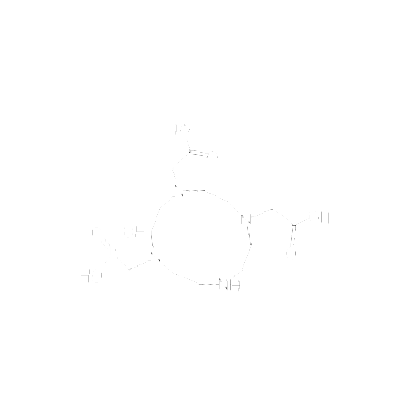 O=C(O)CN1CCNCCN(CP(=O)(O)O)CCN(CC(=O)O)CC1